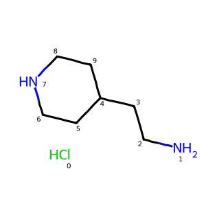 Cl.NCCC1CCNCC1